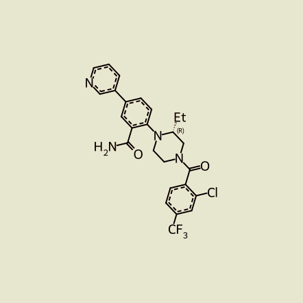 CC[C@@H]1CN(C(=O)c2ccc(C(F)(F)F)cc2Cl)CCN1c1ccc(-c2cccnc2)cc1C(N)=O